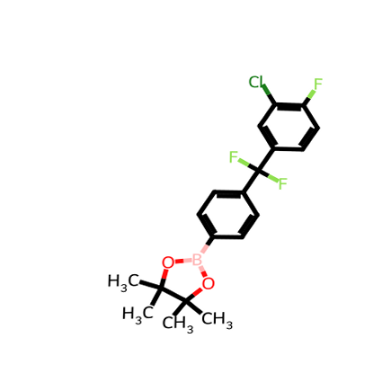 CC1(C)OB(c2ccc(C(F)(F)c3ccc(F)c(Cl)c3)cc2)OC1(C)C